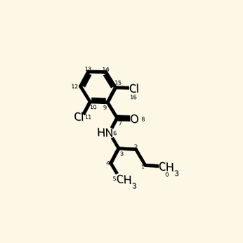 CCCC(CC)NC(=O)c1c(Cl)cccc1Cl